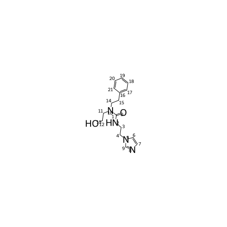 O=C(NCCn1ccnc1)N(CCO)CCc1ccccc1